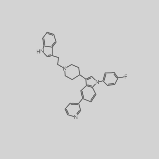 Fc1ccc(-n2cc(C3CCN(CCc4c[nH]c5ccccc45)CC3)c3cc(-c4cccnc4)ccc32)cc1